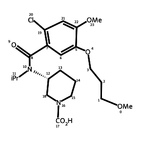 COCCCOc1cc(C(=O)N(C(C)C)[C@@H]2CCCN(C(=O)O)C2)c(Cl)cc1OC